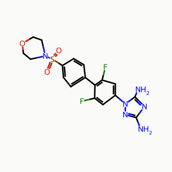 Nc1nc(N)n(-c2cc(F)c(-c3ccc(S(=O)(=O)N4CCOCC4)cc3)c(F)c2)n1